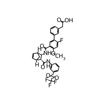 COc1cc(F)c(-c2cccc(CC(=O)O)c2)cc1C(=O)N[C@H]1[C@@H](C(=O)Nc2cccc(S(=O)(=O)C(F)(F)F)c2)[C@@H]2C=C[C@H]1C2